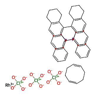 C1=C\CC/C=C\CC/1.[O-][Cl+3]([O-])([O-])[O-].[O-][Cl+3]([O-])([O-])[O-].[O-][Cl+3]([O-])([O-])[O-].[Rh+3].c1ccc(P(c2ccccc2)c2ccc3c(c2-c2c(P(c4ccccc4)c4ccccc4)ccc4c2CCCC4)CCCC3)cc1